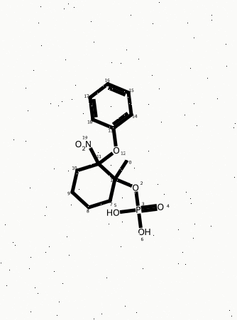 CC1(OP(=O)(O)O)CCCCC1(Oc1ccccc1)[N+](=O)[O-]